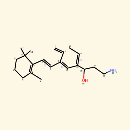 C=CC(/C=C/C1=C(C)CCCC1(C)C)=C\C(=C/C)C(O)CCN